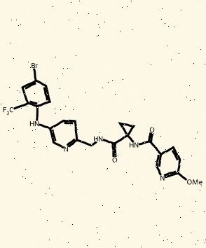 COc1ccc(C(=O)NC2(C(=O)NCc3ccc(Nc4ccc(Br)cc4C(F)(F)F)cn3)CC2)cn1